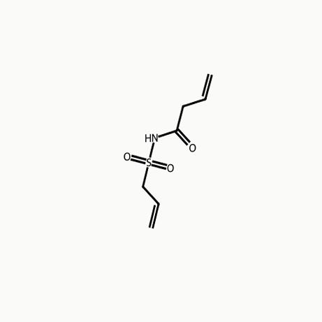 C=CCC(=O)NS(=O)(=O)CC=C